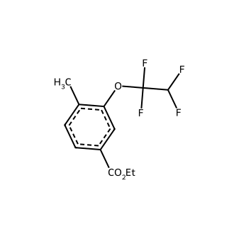 CCOC(=O)c1ccc(C)c(OC(F)(F)C(F)F)c1